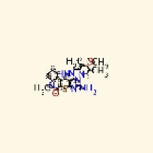 COc1c(C)cnc(CN2NC3CC(C(=O)N(C)C4CCCCC4)Sc4nc(N)nc2c43)c1C